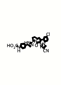 N#Cc1cn(-c2ccc(Cl)cc2-c2cc3n(c(=O)c2)[C@H](c2ncc(-c4ccc(NC(=O)O)cc4)[nH]2)CC3)nn1